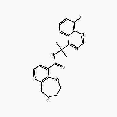 CC(C)(NC(=O)c1cccc2c1OCCNC2)c1ncnc2c(F)cccc12